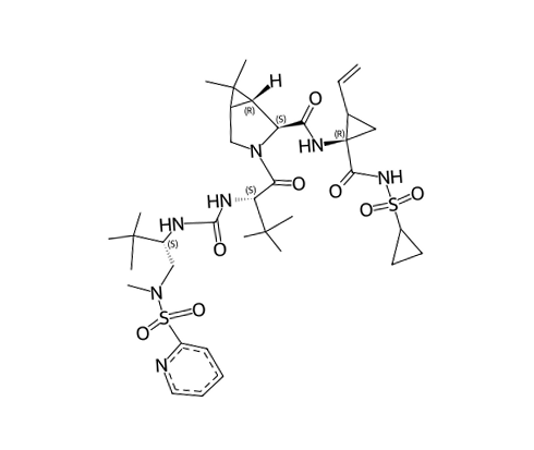 C=CC1C[C@]1(NC(=O)[C@@H]1[C@@H]2C(CN1C(=O)[C@@H](NC(=O)N[C@H](CN(C)S(=O)(=O)c1ccccn1)C(C)(C)C)C(C)(C)C)C2(C)C)C(=O)NS(=O)(=O)C1CC1